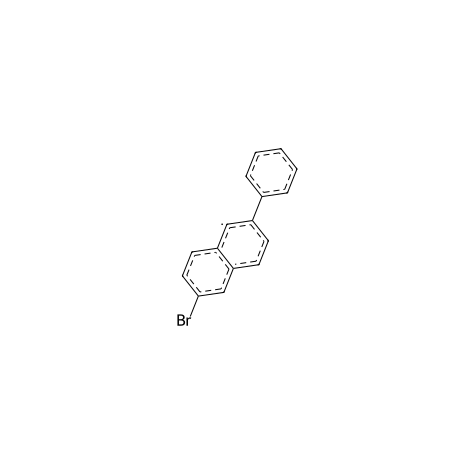 Brc1ccc2[c]c(-c3ccccc3)ccc2c1